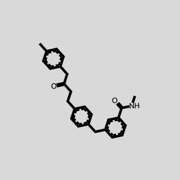 CNC(=O)c1cccc(Cc2ccc(CCC(=O)Cc3ccc(C)cc3)cc2)c1